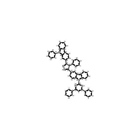 c1ccc(-c2cc(-c3ccccc3)nc(-n3c4ccccc4c4cc(C5=NN=C(c6ccc7c8ccccc8n(-c8ccccc8)c7c6)C5c5ccccc5)ccc43)n2)cc1